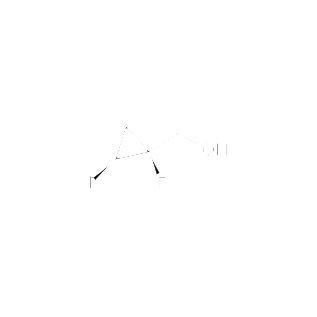 OC[C@@]1(F)C[C@@H]1I